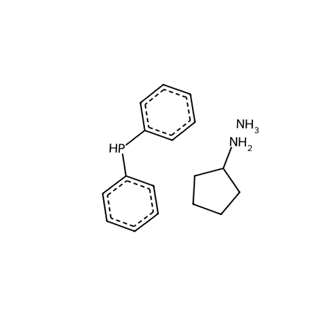 N.NC1CCCC1.c1ccc(Pc2ccccc2)cc1